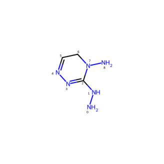 NNC1=NN=CCN1N